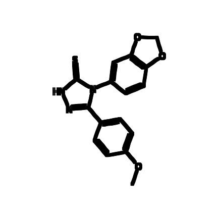 COc1ccc(-c2n[nH]c(=S)n2-c2ccc3c(c2)OCO3)cc1